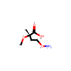 CO[C@@](C)(CCON)C(=O)O